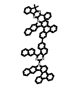 CC1(C)c2ccccc2-c2nc(-n3c4cc5ccccc5cc4c4c5c(ccc43)c3ccccc3c3cc(-c4ccc6c(ccc7nc(-n8c9cc%10ccccc%10cc9c9c%10c%11ccccc%11c%11ccccc%11c%10ccc98)nc(-c8ccc9ccccc9c8)c76)c4)ccc35)c(-c3ccccc3)nc21